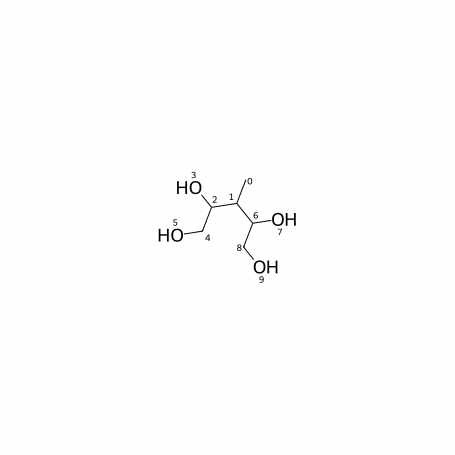 CC(C(O)CO)C(O)CO